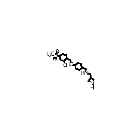 CS(=O)(=O)c1ccc(COc2ccc(CNCC3CNC3)cc2)c(Cl)c1